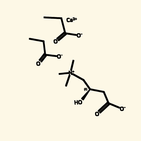 CCC(=O)[O-].CCC(=O)[O-].C[N+](C)(C)C[C@H](O)CC(=O)[O-].[Ca+2]